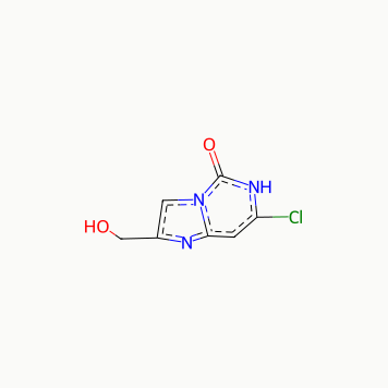 O=c1[nH]c(Cl)cc2nc(CO)cn12